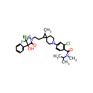 CC(C)N(C)C(=O)c1ccc(N2CCC3(CC2)C(CCN(C)C(=O)C(O)(c2ccccc2)C(F)(F)F)[C@@H]3C)cc1Cl